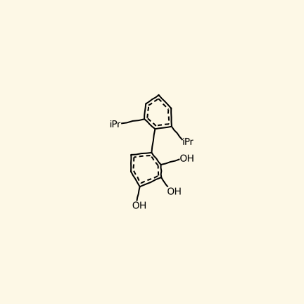 CC(C)c1cccc(C(C)C)c1-c1ccc(O)c(O)c1O